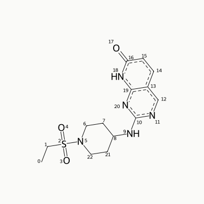 CCS(=O)(=O)N1CCC(Nc2ncc3ccc(=O)[nH]c3n2)CC1